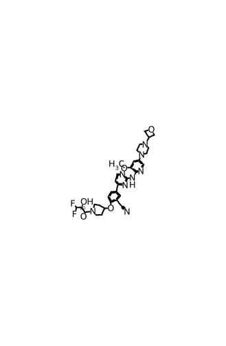 COc1cc(N2CCN(C3COC3)CC2)cnc1Nc1nccc(-c2ccc(OC3CCN(C(=O)[C@H](O)C(F)F)CC3)c(C#N)c2)n1